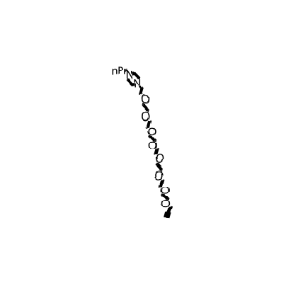 C#CCOCCOCCOCCOCCOCCOCCOCCOCCN1CCN(CCC)CC1